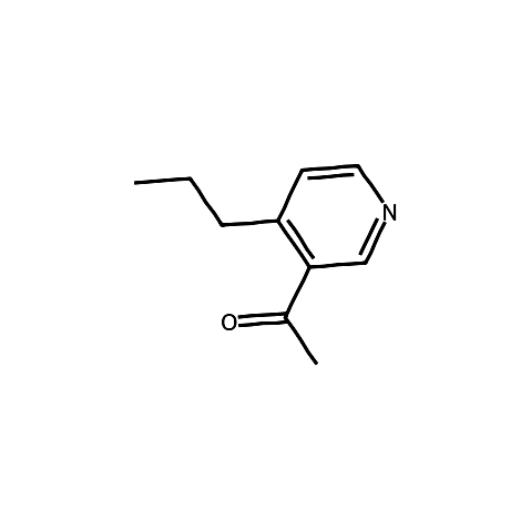 CCCc1ccncc1C(C)=O